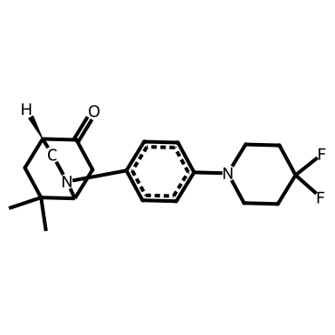 CC1(C)C[C@H]2CN(c3ccc(N4CCC(F)(F)CC4)cc3)C1CC2=O